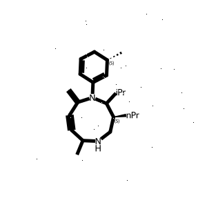 C=C1C#CC(C)NC[C@H](CCC)C(C(C)C)N1C1=C[C@@H](C)CC=C1